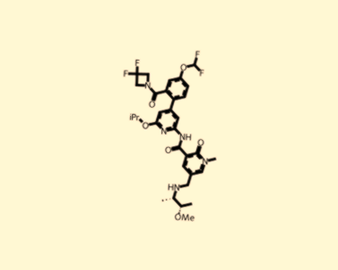 CO[C@@H](C)[C@H](C)NCc1cc(C(=O)Nc2cc(-c3ccc(OC(F)F)cc3C(=O)N3CC(F)(F)C3)cc(OC(C)C)n2)c(=O)n(C)c1